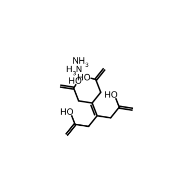 C=C(O)CC(CC(=C)O)=C(CC(=C)O)CC(=C)O.N.N